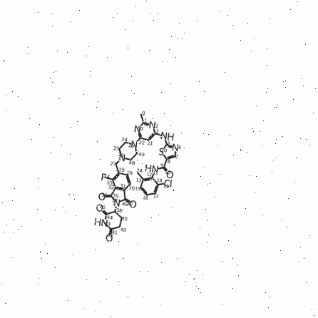 Cc1nc(Nc2ncc(C(=O)Nc3c(C)cccc3Cl)s2)cc(N2CCN(Cc3ccc4c(c3F)C(=O)N(C3CCC(=O)NC3=O)C4=O)CC2)n1